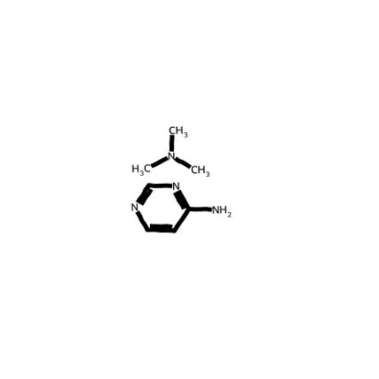 CN(C)C.Nc1ccncn1